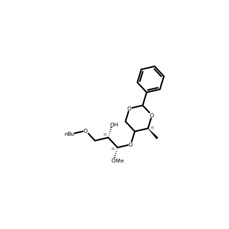 CCCCOC[C@H](O)[C@@H](OC)OC1COC(c2ccccc2)O[C@H]1C